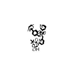 CC(C)(C)OC(=O)N(CC(=O)O)c1cccc(CN(Cc2ccc(-c3nccs3)cc2)S(=O)(=O)c2cccnc2)n1